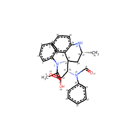 CC(=O)N(c1ccccc1)[C@@]1([C@@H](C(=O)O)N(C=O)c2ccccc2)C[C@@H](C)Nc2ccccc21